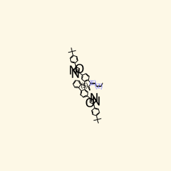 C=C1/C(=C\C=C/C)c2ccc(-c3nnc(-c4ccc(C(C)(C)C)cc4)o3)cc2[C@@]12c1ccccc1-c1ccc(-c3nnc(-c4ccc(C(C)(C)C)cc4)o3)cc12